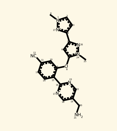 Cn1ccc(-c2cc(Oc3cc(C#N)ccc3-c3ncc(CN)cn3)n(C)n2)n1